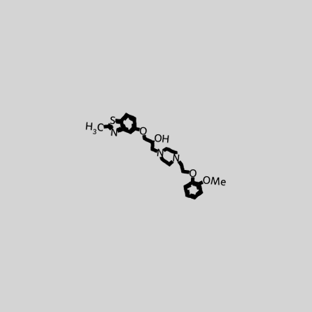 COc1ccccc1OCCN1CCN(C[C@@H](O)COc2ccc3sc(C)nc3c2)CC1